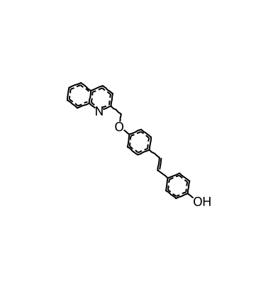 Oc1ccc(C=Cc2ccc(OCc3ccc4ccccc4n3)cc2)cc1